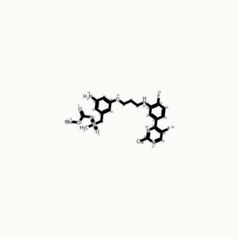 CC(C)(C)OC(=O)N=S(C)(=O)Cc1cc(N)cc(OCCCNc2cc(-c3nc(Cl)ncc3F)ccc2F)c1